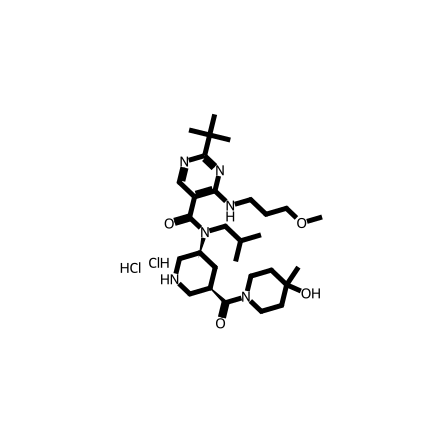 COCCCNc1nc(C(C)(C)C)ncc1C(=O)N(CC(C)C)[C@@H]1CNC[C@H](C(=O)N2CCC(C)(O)CC2)C1.Cl.Cl